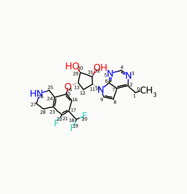 CCc1ncnc2c1ccn2[C@@H]1C[C@H](Oc2cc(C(F)F)c(F)c3c2CNCC3)[C@@H](O)[C@H]1O